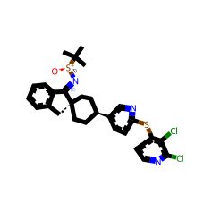 CC(C)(C)[S@@+]([O-])/N=C1\c2ccccc2C[C@]12CC[C@H](c1ccc(Sc3ccnc(Cl)c3Cl)nc1)CC2